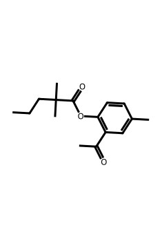 CCCC(C)(C)C(=O)Oc1ccc(C)cc1C(C)=O